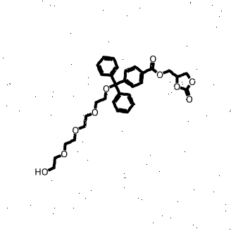 O=C1OCC(COC(=O)c2ccc(C(OCCOCCOCCOCCO)(c3ccccc3)c3ccccc3)cc2)O1